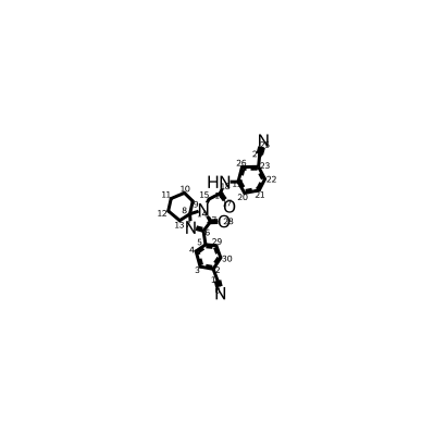 N#Cc1ccc(C2=NC3(CCCCC3)N(CC(=O)Nc3cccc(C#N)c3)C2=O)cc1